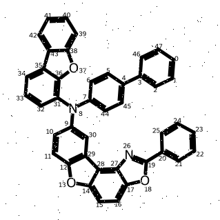 c1ccc(-c2ccc(N(c3ccc4oc5ccc6oc(-c7ccccc7)nc6c5c4c3)c3cccc4c3oc3ccccc34)cc2)cc1